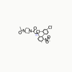 CC(=O)N1CCN(C(=O)/C=C/c2cc[c]c([N+](=O)[O-])c2-c2ccc(Cl)cc2Cl)CC1